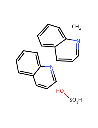 C.O=S(=O)(O)O.c1ccc2ncccc2c1.c1ccc2ncccc2c1